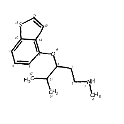 CNCCC(Oc1cccc2sccc12)C(C)C